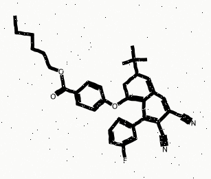 CCCCCCOC(=O)c1ccc(OC2=c3c(-c4cccc(F)c4)c(C#N)c(C#N)cc3=CC(C(C)(C)C)C2)cc1